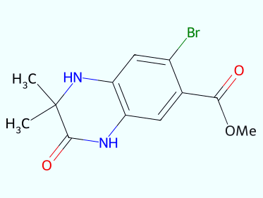 COC(=O)c1cc2c(cc1Br)NC(C)(C)C(=O)N2